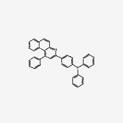 c1ccc(-c2cc(-c3ccc(P(c4ccccc4)c4ccccc4)cc3)nc3ccc4ccccc4c23)cc1